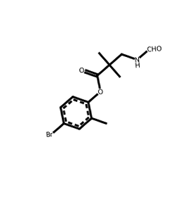 Cc1cc(Br)ccc1OC(=O)C(C)(C)CNC=O